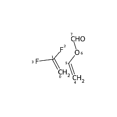 C=C(F)F.C=COC=O